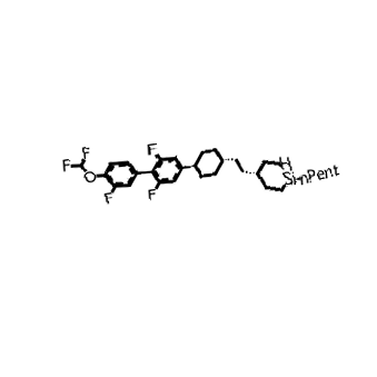 CCCCC[Si@H]1CC[C@H](CC[C@H]2CC[C@H](c3cc(F)c(-c4ccc(OC(F)F)c(F)c4)c(F)c3)CC2)CC1